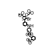 COC(=O)COc1c(C(=O)OC)sc(-c2cccc(NC3CCN(S(=O)(=O)Cc4ccccc4[N+](=O)[O-])CC3)c2)c1Br